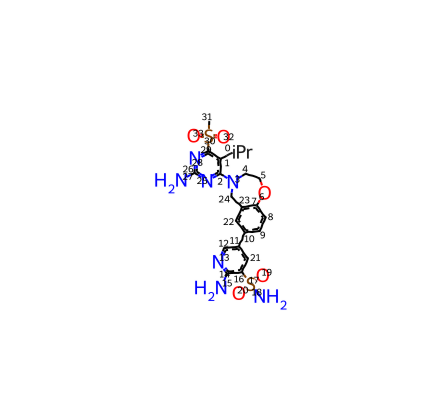 CC(C)c1c(N2CCOc3ccc(-c4cnc(N)c(S(N)(=O)=O)c4)cc3C2)nc(N)nc1S(C)(=O)=O